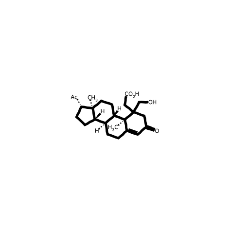 CC(=O)[C@H]1CC[C@H]2[C@@H]3CCC4=CC(=O)CC(CO)(CC(=O)O)[C@]4(C)[C@H]3CC[C@]12C